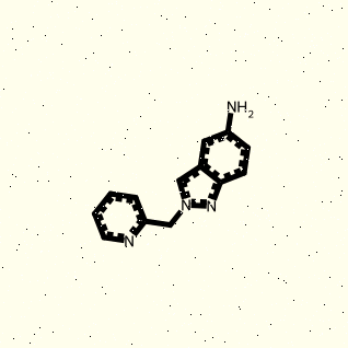 Nc1ccc2nn(Cc3ccccn3)cc2c1